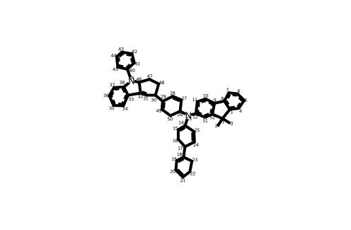 CC1(C)c2ccccc2-c2ccc(N(C3=CCC(C4=CC=CCC4)C=C3)C3C=CC(C4C=C5c6ccccc6N(c6ccccc6)C5CC4)=CC3)cc21